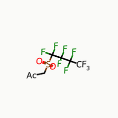 CC(=O)CS(=O)(=O)C(F)(F)C(F)(F)C(F)(F)C(F)(F)F